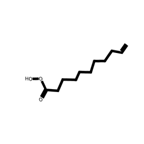 C=CCCCCCCCCC(=O)OO